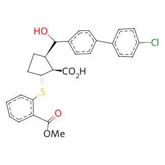 COC(=O)c1ccccc1S[C@@H]1CC[C@@H](C(O)c2ccc(-c3ccc(Cl)cc3)cc2)[C@H]1C(=O)O